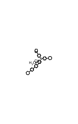 CC1(C)c2cc(-c3ccc(C4CCCCC4)cc3)ccc2-c2ccc(N(c3ccc(C4CCCCC4)cc3)c3ccc(C4CC5CCC4C5)cc3)cc21